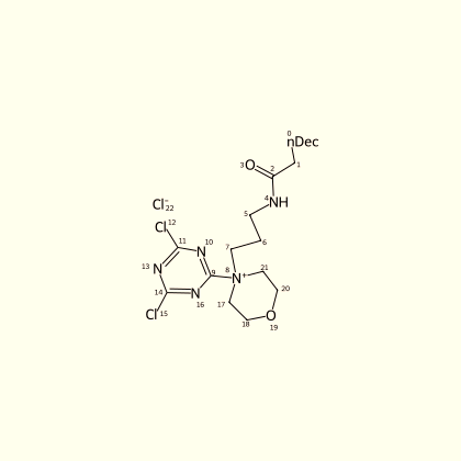 CCCCCCCCCCCC(=O)NCCC[N+]1(c2nc(Cl)nc(Cl)n2)CCOCC1.[Cl-]